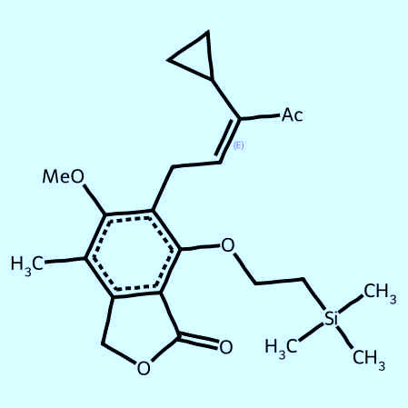 COc1c(C)c2c(c(OCC[Si](C)(C)C)c1C/C=C(/C(C)=O)C1CC1)C(=O)OC2